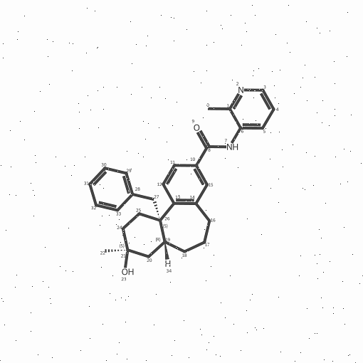 Cc1ncccc1NC(=O)c1ccc2c(c1)CCC[C@@H]1C[C@@](C)(O)CC[C@@]21Cc1ccccc1